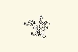 CCOC(CN(Cc1cccc2cn[nH]c12)C(=O)[C@H](Cc1ccc(OC(C)(C)C)cc1)NC(=O)C[C@@H](C)NC(=O)NCc1ccccc1)OCC